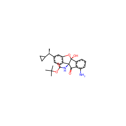 C[C@@H](c1ccc2c(c1)O[C@]1(O)c3cccc(N)c3C(=O)[C@]21NC(=O)OC(C)(C)C)C1CC1